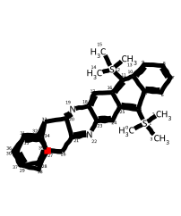 CS(C)(C)c1c2ccccc2c(S(C)(C)C)c2cc3nc4c(nc3cc12)C1c2ccccc2C4c2ccccc21